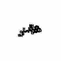 CC(C)(C)OC(=O)NCCSc1nc(N)nc(-c2c(Cl)cc3c4c(cccc24)COC3)n1